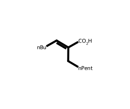 CCCCC=C(CCCCCC)C(=O)O